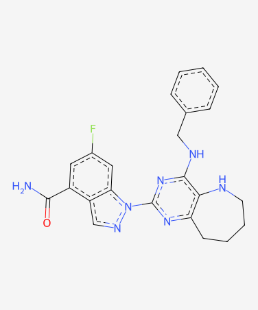 NC(=O)c1cc(F)cc2c1cnn2-c1nc2c(c(NCc3ccccc3)n1)NCCCC2